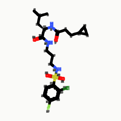 CC(C)C[C@H](NC(=O)CCC1CC1)C(=O)NCCCNS(=O)(=O)c1ccc(F)cc1Cl